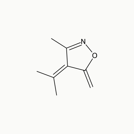 C=c1onc(C)c1=C(C)C